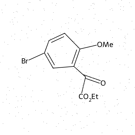 CCOC(=O)C(=O)c1cc(Br)ccc1OC